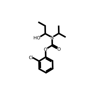 CCC(O)N(C(=O)Oc1ccccc1Cl)C(C)C